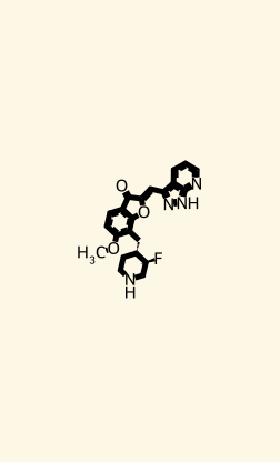 COc1ccc2c(c1C[C@H]1CCNC[C@@H]1F)O/C(=C\c1n[nH]c3ncccc13)C2=O